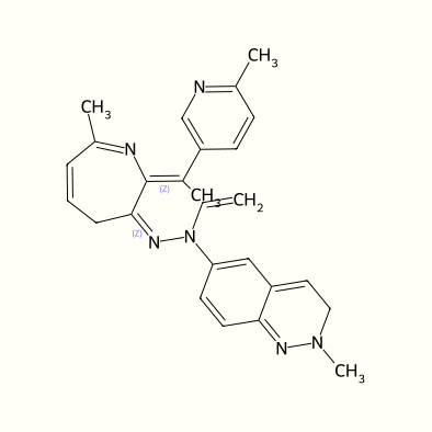 C=CN(/N=C1/CC=CC(C)=N/C1=C(/C)c1ccc(C)nc1)c1ccc2c(c1)=CCN(C)N=2